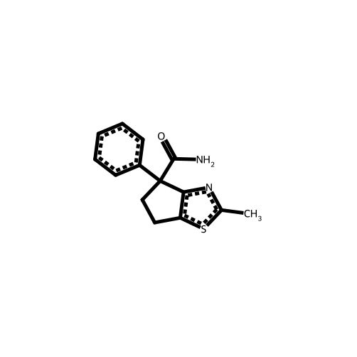 Cc1nc2c(s1)CCC2(C(N)=O)c1ccccc1